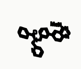 CNc1ncnc2ccc(-c3cccc(CN(Cc4ccccn4)C(=O)c4ccccc4)c3)cc12